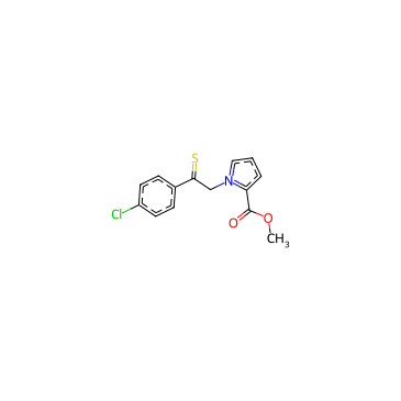 COC(=O)c1cccn1CC(=S)c1ccc(Cl)cc1